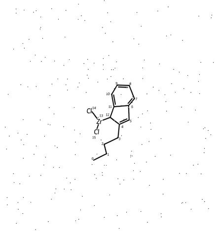 CCCCC1=Cc2ccccc2[CH]1[Zr]([Cl])[Cl]